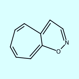 C1=CC=C2ON=CC=C2C=C1